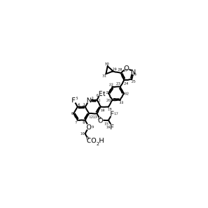 CCc1nc2c(F)ccc(OCC(=O)O)c2c(OC(F)F)c1Cc1ccc(-c2cnoc2C2CC2)cc1